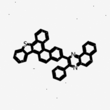 c1ccc(-c2nc3ccc4ccccc4c3nc2-c2ccc3c(ccc4c3c3ccccc3c3sc5ccccc5c43)c2)cc1